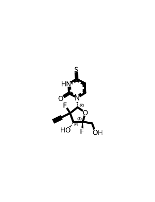 C#CC1(F)[C@@H](O)[C@@](F)(CO)O[C@H]1n1ccc(=S)[nH]c1=O